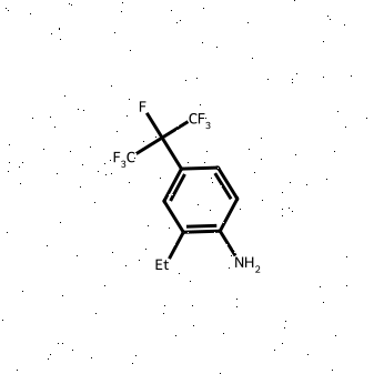 CCc1cc(C(F)(C(F)(F)F)C(F)(F)F)ccc1N